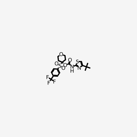 CC(C)(C)c1csc(NC(=O)OC2(S(=O)(=O)c3ccc(C(F)(F)F)cc3)CCOCC2)n1